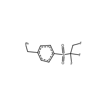 CC(C)Cc1ccc(S(=O)(=O)C(F)(F)CF)cc1